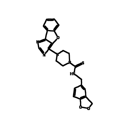 S=C(NCc1ccc2c(c1)COO2)N1CCN(c2ncnc3c2oc2ccccc23)CC1